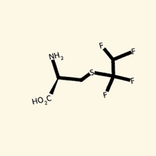 N[C@@H](CSC(F)(F)C(F)F)C(=O)O